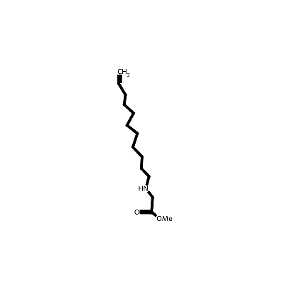 C=CCCCCCCCCCNCC(=O)OC